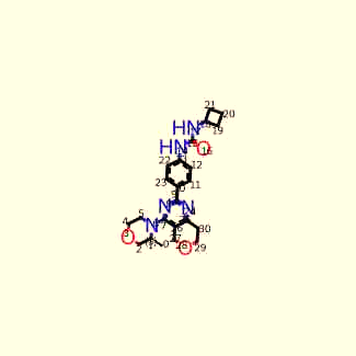 C[C@H]1COCCN1c1nc(-c2ccc(NC(=O)NC3CCC3)cc2)nc2c1COCC2